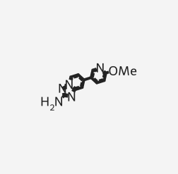 COc1ccc(-c2ccn3nc(N)nc3c2)cn1